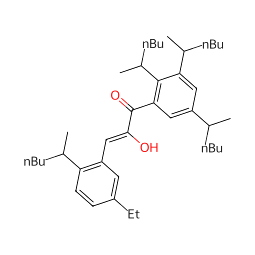 CCCCC(C)c1cc(C(=O)C(O)=Cc2cc(CC)ccc2C(C)CCCC)c(C(C)CCCC)c(C(C)CCCC)c1